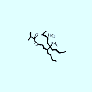 C=C(C)C(=O)OCCC(CCCC)C(P)(CCCC)CCCC.Cl